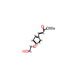 COC(=O)C=Cc1ccc(OCCO)cc1